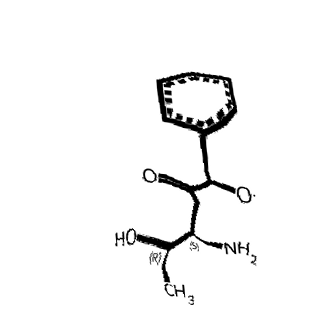 C[C@@H](O)[C@H](N)C(=O)C([O])c1ccccc1